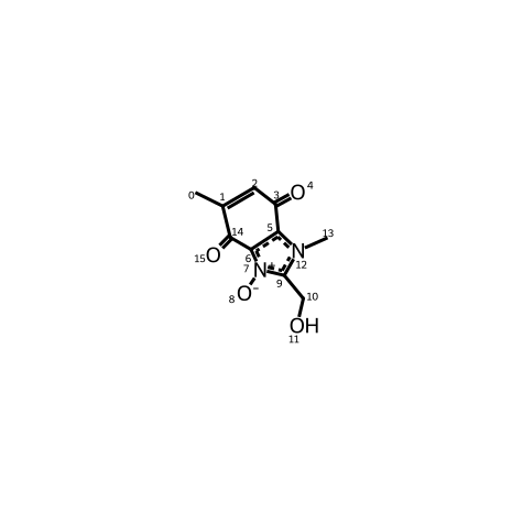 CC1=CC(=O)c2c([n+]([O-])c(CO)n2C)C1=O